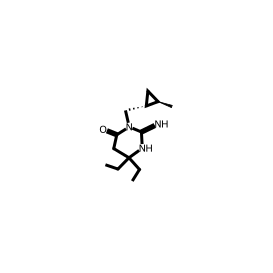 CCC1(CC)CC(=O)N(C[C@@H]2C[C@H]2C)C(=N)N1